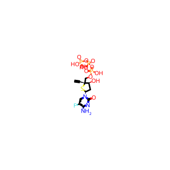 C#C[C@]1(COP(=O)(O)OP(=O)(O)OP(=O)(O)O)S[C@@H](n2cc(F)c(N)nc2=O)C[C@@H]1O